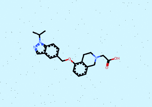 CC(C)n1ncc2cc(COc3cccc4c3CCN(CC(=O)O)C4)ccc21